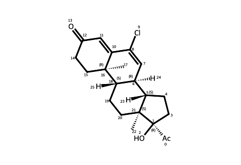 CC(=O)[C@@]1(O)CC[C@H]2[C@@H]3C=C(Cl)C4=CC(=O)CC[C@]4(C)[C@H]3CC[C@@]21C